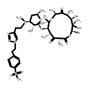 CC[C@H]1OC(=O)[C@H](C)C(=O)[C@H](C)[C@@H](O[C@@H]2O[C@H](C)C[C@H](N(C)CCc3cn(CCc4ccc(S(C)(=O)=O)cc4)nn3)[C@H]2O)[C@](C)(OC)C[C@@H](C)C(=O)[C@H](C)[C@@H](O)[C@]1(C)O